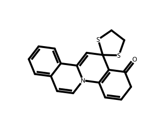 O=C1CC=CC2=C1C1(C=C3c4ccccc4C=CN32)SCCS1